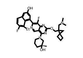 CCc1c(F)ccc2cc(O)cc(-c3ncc4c(N5CCC[C@@](C)(O)C5)nc(OCC5(CN(C)C)CC56CCC6)nc4c3F)c12